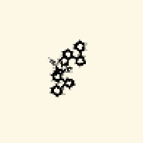 CC(C)C1=C2c3c(-c4ccccc4-c4ccccc4)cccc3[CH]1[Zr+2][CH]1C(C(C)C)=C(c3c(-c4ccccc4-c4ccccc4)cccc31)[Si]2(C)C.[Cl-].[Cl-]